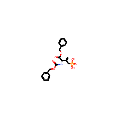 C=C(CP(=O)(O)O)[C@H](NC(=O)OCc1ccccc1)C(=O)OCc1ccccc1